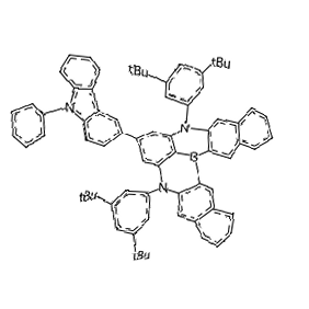 CC(C)(C)c1cc(N2c3cc4ccccc4cc3B3c4cc5ccccc5cc4N(c4cc(C(C)(C)C)cc(C(C)(C)C)c4)c4cc(-c5ccc6c(c5)c5ccccc5n6-c5ccccc5)cc2c43)cc(C(C)(C)C)c1